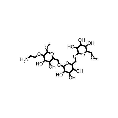 COCC1OC(OCC2OC(OCC3OC(OC)C(OCCN)C(O)C3O)C(O)C(O)C2O)C(O)C(O)C1O